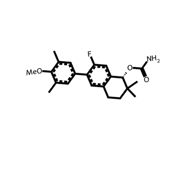 COc1c(C)cc(-c2cc3c(cc2F)[C@H](OC(N)=O)C(C)(C)CC3)cc1C